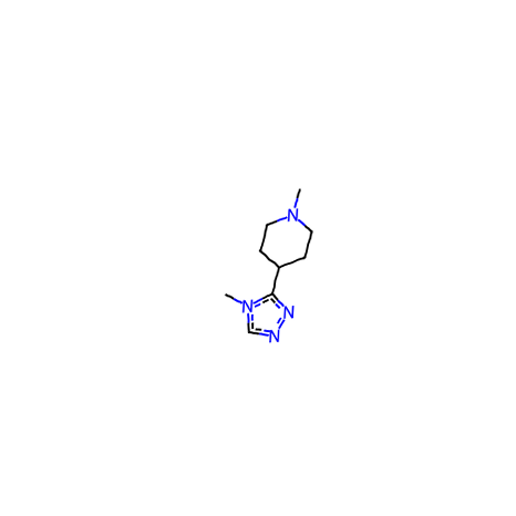 CN1CCC(c2nncn2C)CC1